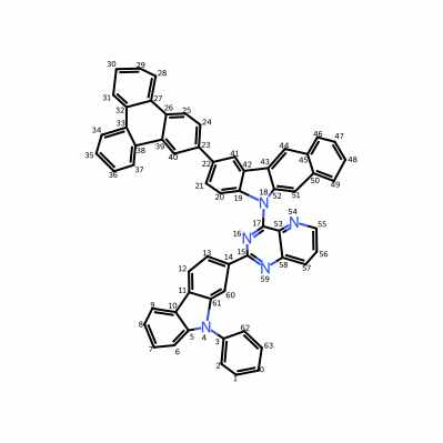 c1ccc(-n2c3ccccc3c3ccc(-c4nc(-n5c6ccc(-c7ccc8c9ccccc9c9ccccc9c8c7)cc6c6cc7ccccc7cc65)c5ncccc5n4)cc32)cc1